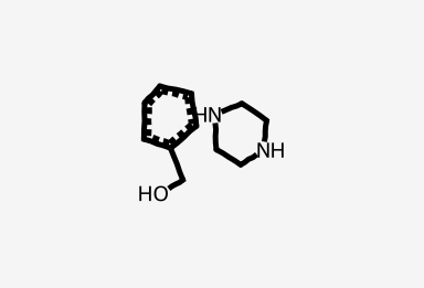 C1CNCCN1.OCc1ccccc1